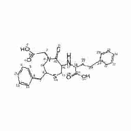 O=C(O)CN1CC(Cc2ccccc2)SCC(NC(CCc2ccccc2)C(=O)O)C1=O